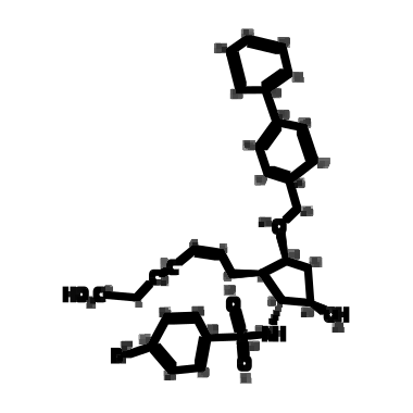 O=C(O)CCC/C=C\C[C@@H]1[C@@H](NS(=O)(=O)c2ccc(Br)cc2)[C@H](O)C[C@@H]1OCc1ccc(-c2ccccc2)cc1